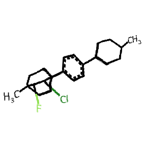 CC1CCC(c2ccc(C34CCC(C)(CC3)C(F)C4Cl)cc2)CC1